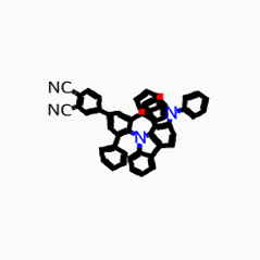 N#Cc1ccc(-c2cc(-c3ccccc3)c(-n3c4ccccc4c4ccc5c(c6ccccc6n5-c5ccccc5)c43)c(-c3ccccc3)c2)cc1C#N